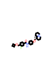 O=C(Nc1ccc(OC[C@@H]2CCCN3CCCC[C@H]23)cc1)c1ccc(COC2CCC2)c(F)c1